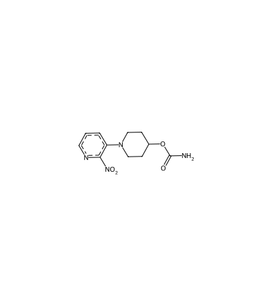 NC(=O)OC1CCN(c2cccnc2[N+](=O)[O-])CC1